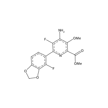 COC(=O)c1nc(-c2ccc3c(c2F)OCO3)c(F)c(N)c1OC